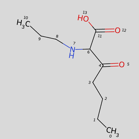 CCCCC(=O)C(NCCC)C(=O)O